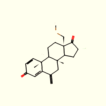 C=C1C[C@H]2[C@@H]3C[C@@H](F)C(=O)[C@@]3(CSCC)CC[C@@H]2[C@@]2(C)C=CC(=O)C=C12